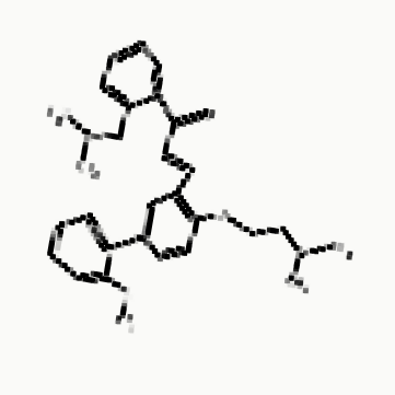 CN(C)CCOc1ccc(-c2ccccc2OC(F)(F)F)cc1C=CC(=O)c1ccccc1CN(C)C